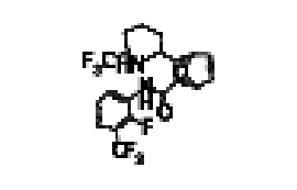 O=C(Nc1cccc(C(F)(F)F)c1F)c1c(C2CCCC(C(F)(F)F)N2)c2ccc1o2